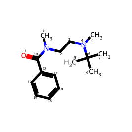 CN(CCN(C)C(C)(C)C)C(=O)c1ccccc1